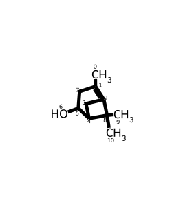 CC1=C2CC(C(O)C1)C2(C)C